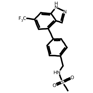 CS(=O)(=O)NCc1ccc(-c2cc(C(F)(F)F)cc3[nH]ncc23)cc1